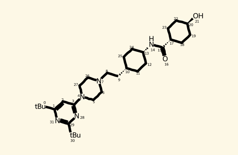 CC(C)(C)c1cc(N2CCN(CC[C@H]3CC[C@@H](NC(=O)[C@H]4CC[C@H](O)CC4)CC3)CC2)nc(C(C)(C)C)n1